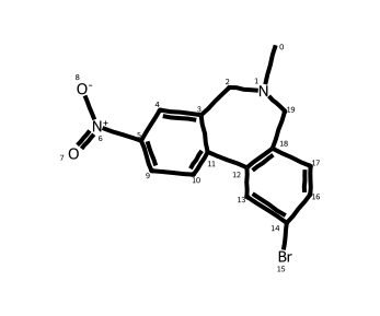 CN1Cc2cc([N+](=O)[O-])ccc2-c2cc(Br)ccc2C1